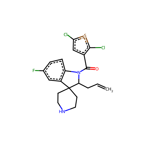 C=CCC1N(C(=O)c2cc(Cl)sc2Cl)c2ccc(F)cc2C12CCNCC2